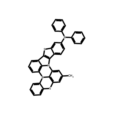 Cc1cc2c3c(c1)-n1c4c(cccc4c4sc5cc(N(c6ccccc6)c6ccccc6)ccc5c41)B3c1ccccc1S2